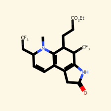 CCOC(=O)CCC1C2=C(C=CC(CC(F)(F)F)N2C)C2=C(NC(=O)C2)C1C(F)(F)F